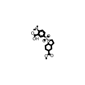 COC(=O)C1CCC2C(CCN2S(=O)(=O)c2ccc(N(C)C)c(C(=O)O)c2)C1